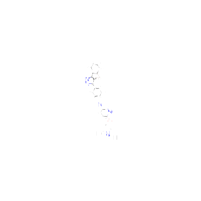 CN(C)CCOc1ccc(NCc2ccc(-c3n[nH]c4c3sc3ccccc34)cc2)cn1